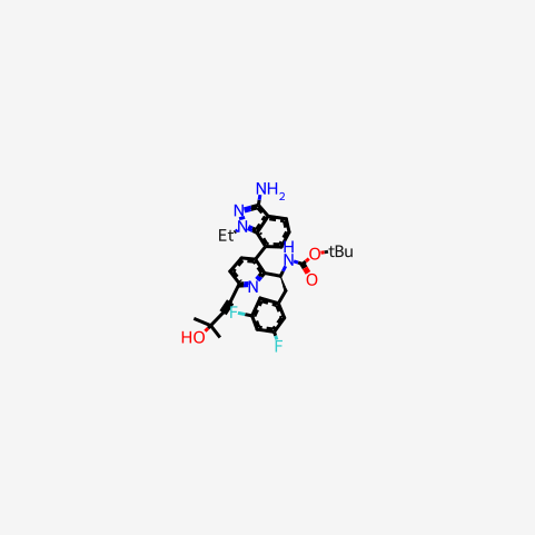 CCn1nc(N)c2cccc(-c3ccc(C#CC(C)(C)O)nc3[C@H](Cc3cc(F)cc(F)c3)NC(=O)OC(C)(C)C)c21